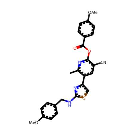 COc1ccc(CNc2nc(-c3cc(C#N)c(OC(=O)c4ccc(OC)cc4)nc3C)cs2)cc1